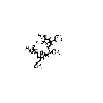 C=CCC(C)(C/C=C/N(C)CCC(CC)(CC=C)CC=C)CCNC